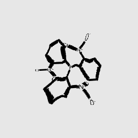 O=[N+]([O-])c1ccccc1P(c1ccccc1[N+](=O)[O-])c1ccccc1[N+](=O)[O-]